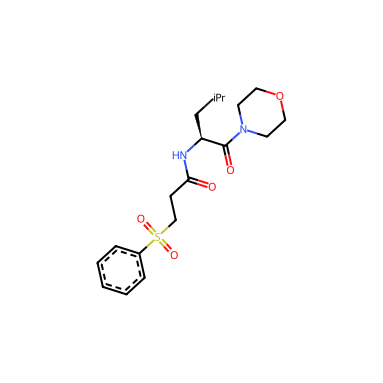 CC(C)C[C@H](NC(=O)CCS(=O)(=O)c1ccccc1)C(=O)N1CCOCC1